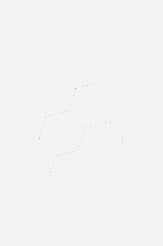 CC1CCC(C(C)C)C(O[P])C1